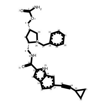 NC(=O)OC[C@H]1C[C@@H](CNC(=O)c2cc3ccc(C#CC4CC4)cc3[nH]2)N(Cc2ccccc2)C1